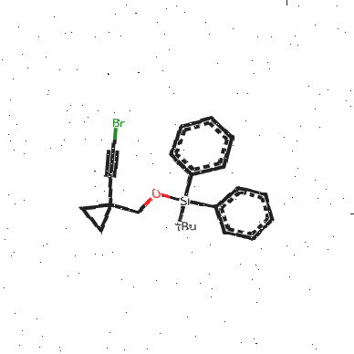 CC(C)(C)[Si](OCC1(C#CBr)CC1)(c1ccccc1)c1ccccc1